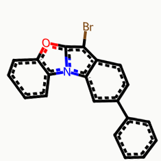 Brc1c2ccc(-c3ccccc3)cc2n2c1oc1ccccc12